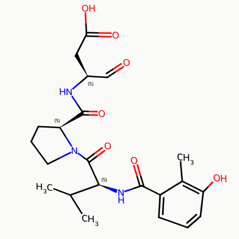 Cc1c(O)cccc1C(=O)N[C@H](C(=O)N1CCC[C@H]1C(=O)N[C@H](C=O)CC(=O)O)C(C)C